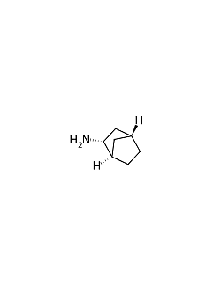 N[C@@H]1C[C@@H]2CC[C@@H]1C2